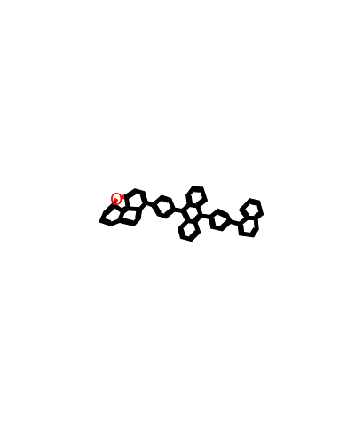 c1ccc2c(-c3ccc(-c4c5ccccc5c(-c5ccc(-c6ccc7oc8cccc9ccc6c7c98)cc5)c5ccccc45)cc3)cccc2c1